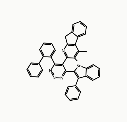 Cc1c(-c2c(-c3ccccc3-c3ccccc3)nnnc2-c2[se]c3ccccc3c2-c2ccccc2)nc2c(c1C)-c1ccccc1C2